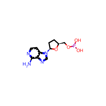 Nc1nccc2c1ncn2[C@H]1CC[C@@H](COP(O)O)O1